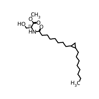 CCCCCCCCC1CC1CCCCCCCC(=O)N[C@@H](CO)C(=O)OC